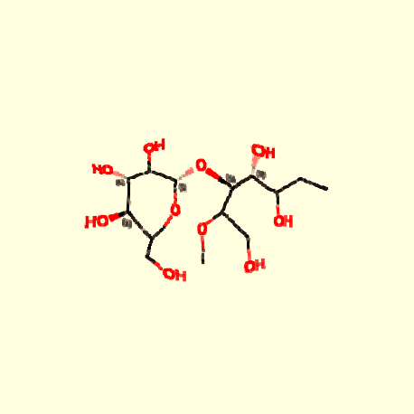 CCC(O)[C@@H](O)[C@H](O[C@@H]1OC(CO)[C@@H](O)[C@H](O)C1O)C(CO)OC